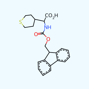 O=C(NC(C(=O)O)C1CCSCC1)OCC1c2ccccc2-c2ccccc21